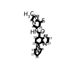 Cc1cn2cc(NC(=O)c3ccc(N4CC5CC(C4)N5)c4nccnc34)cc(F)c2n1